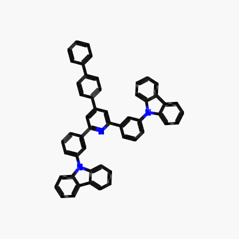 c1ccc(-c2ccc(-c3cc(-c4cccc(-n5c6ccccc6c6ccccc65)c4)nc(-c4cccc(-n5c6ccccc6c6ccccc65)c4)c3)cc2)cc1